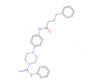 N=C(Nc1ccccc1)N1CCN(c2ccc(NC(=O)CCCc3ccccc3)cc2)CC1